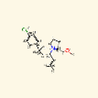 COC[C@H]1CCCN1[C@H](C=C(C)C)CC(C)(C)c1ccc(Cl)cc1